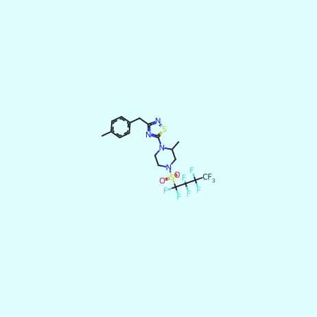 Cc1ccc(Cc2nsc(N3CCN(S(=O)(=O)C(F)(F)C(F)(F)C(F)(F)C(F)(F)F)CC3C)n2)cc1